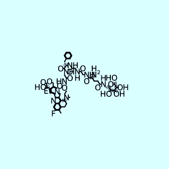 CC[C@@]1(O)C(=O)OCc2c1cc1n(c2=O)Cc2c-1nc1cc(F)c(C)c3c1c2[C@@H](N(C)CCOCNC(=O)CNC(=O)[C@H](Cc1ccccc1)NC(=O)CNC(=O)CNC(=O)[C@@H](N)CCC(=O)NC[C@@H]1O[C@H](CO)[C@@H](O)[C@H](O)[C@H]1O)CC3